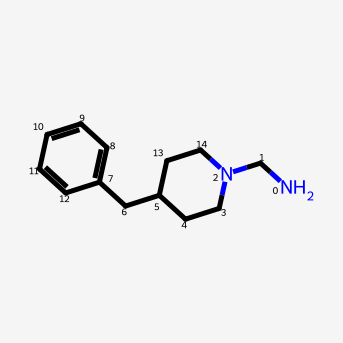 NCN1CCC(Cc2ccccc2)CC1